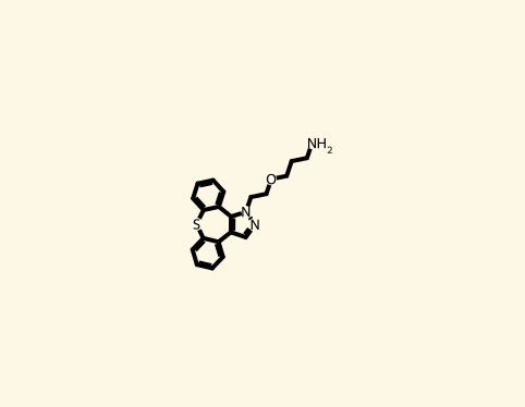 NCCCOCCn1ncc2c1-c1ccccc1Sc1ccccc1-2